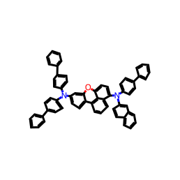 c1ccc(-c2ccc(N(c3ccc(-c4ccccc4)cc3)c3ccc4c(c3)Oc3ccc(N(c5ccc(-c6ccccc6)cc5)c5ccc6ccccc6c5)c5cccc-4c35)cc2)cc1